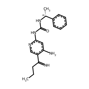 CCCC(=N)c1cnc(NC(=O)N[C@H](C)c2ccccc2)cc1N